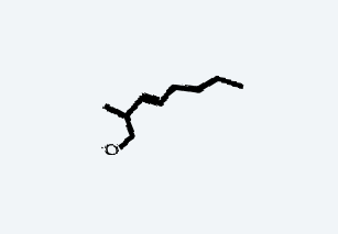 CCCC/C=C/C(C)C[O]